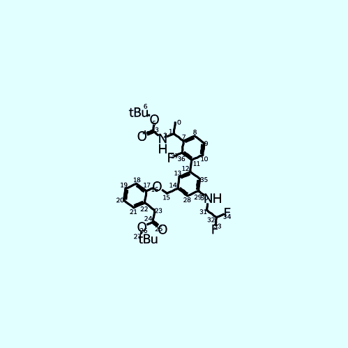 CC(NC(=O)OC(C)(C)C)c1cccc(-c2cc(COc3ccccc3CC(=O)OC(C)(C)C)cc(NCC(F)F)c2)c1F